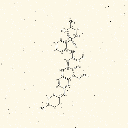 CCOc1cc(OC2CCN(C)CC2)ccc1Nc1ncc(Cl)c(Nc2ccccc2S(=O)(=O)NCC(C)C)n1